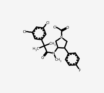 CN(C(=O)C(C)(C)c1cc(Cl)cc(Cl)c1)C1CN(C(=O)Cl)CC1c1ccc(F)cc1